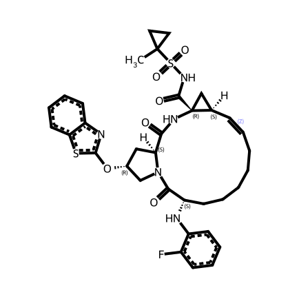 CC1(S(=O)(=O)NC(=O)[C@@]23C[C@H]2/C=C\CCCCC[C@H](Nc2ccccc2F)C(=O)N2C[C@H](Oc4nc5ccccc5s4)C[C@H]2C(=O)N3)CC1